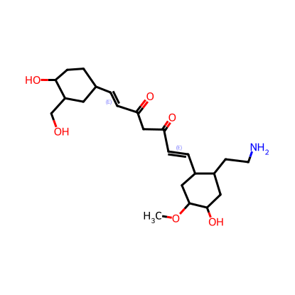 COC1CC(/C=C/C(=O)CC(=O)/C=C/C2CCC(O)C(CO)C2)C(CCN)CC1O